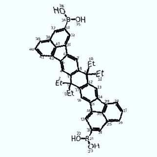 CCC1(CC)c2cc3c(cc2C(CC)(CC)c2cc4c(cc21)-c1cc(B(O)O)cc2cccc-4c12)-c1cc(B(O)O)cc2cccc-3c12